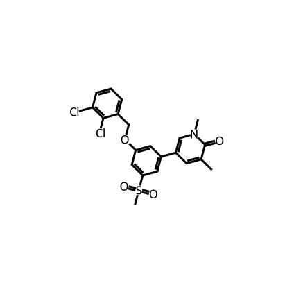 Cc1cc(-c2cc(OCc3cccc(Cl)c3Cl)cc(S(C)(=O)=O)c2)cn(C)c1=O